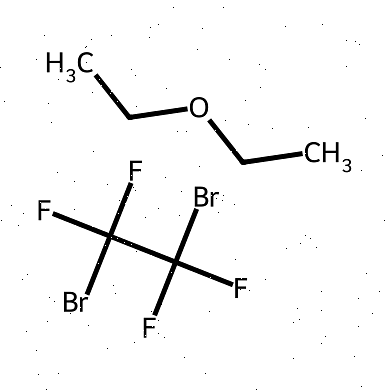 CCOCC.FC(F)(Br)C(F)(F)Br